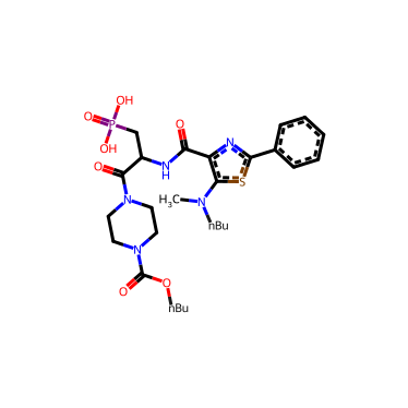 CCCCOC(=O)N1CCN(C(=O)C(CP(=O)(O)O)NC(=O)c2nc(-c3ccccc3)sc2N(C)CCCC)CC1